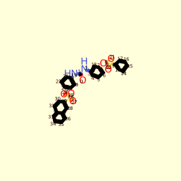 O=C(Nc1cccc(OS(=O)(=O)c2ccccc2)c1)Nc1cccc(OS(=O)(=O)c2ccc3ccccc3c2)c1